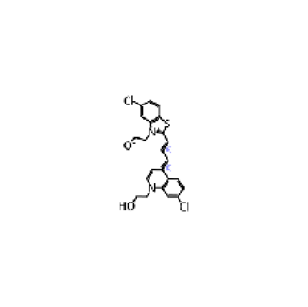 [O-]CC[n+]1c(/C=C/C=C2\C=CN(CCO)c3cc(Cl)ccc32)sc2ccc(Cl)cc21